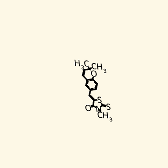 CN1C(=O)/C(=C/c2ccc3c(c2)C=CC(C)(C)O3)SC1=S